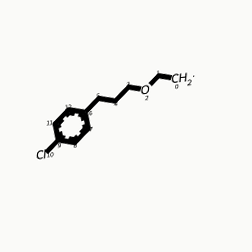 [CH2]COCCCc1ccc(Cl)cc1